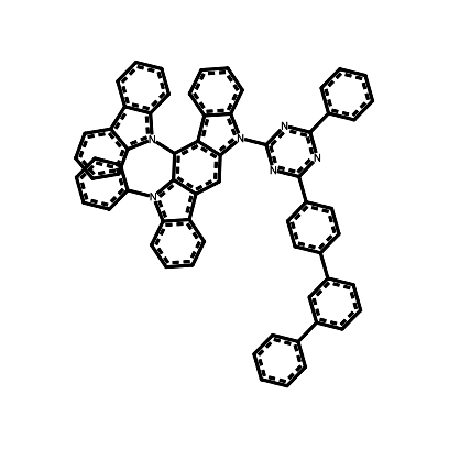 c1ccc(-c2cccc(-c3ccc(-c4nc(-c5ccccc5)nc(-n5c6ccccc6c6c(-n7c8ccccc8c8ccccc87)c7c(cc65)c5ccccc5n7-c5ccccc5)n4)cc3)c2)cc1